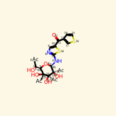 CC(=O)C(O)[C@H]1O[C@@H](Nc2ncc(C(=O)c3ccsc3)s2)[C@](O)(C(C)=O)[C@](O)(C(C)=O)[C@@]1(O)C(C)=O